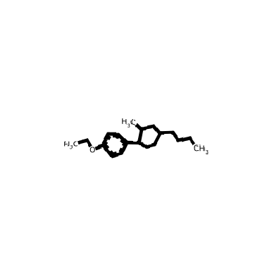 CCCCC1CCC(c2ccc(OCC)cc2)C(C)C1